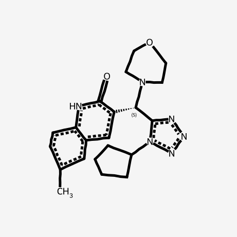 Cc1ccc2[nH]c(=O)c([C@@H](c3nnnn3C3CCCC3)N3CCOCC3)cc2c1